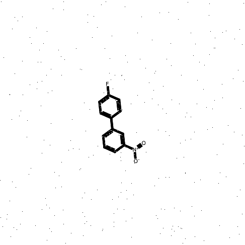 O=[N+]([O-])c1[c]ccc(-c2ccc(F)cc2)c1